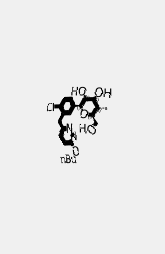 CCCCOc1ccc(Cc2cc([C@@H]3O[C@H](CO)[C@@H](C)[C@H](O)[C@H]3O)ccc2Cl)nn1